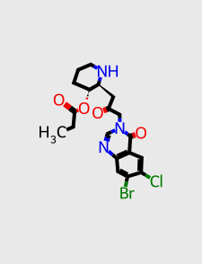 CCC(=O)O[C@@H]1CCCN[C@H]1CC(=O)Cn1cnc2cc(Br)c(Cl)cc2c1=O